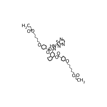 C=CC(=O)OCCCCCCOc1ccc(C(=O)Oc2cc(/C=N/Nc3nc4nccnc4s3)c(OC(=O)c3ccc(OCCCCCCOC(=O)C=C)cc3)c3ccccc23)cc1